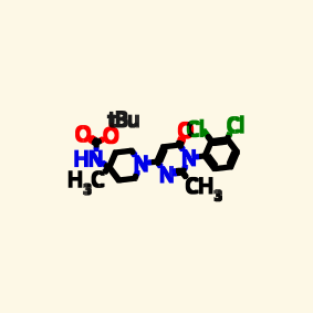 Cc1nc(N2CCC(C)(NC(=O)OC(C)(C)C)CC2)cc(=O)n1-c1cccc(Cl)c1Cl